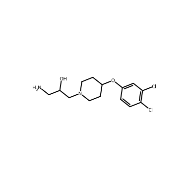 NCC(O)CN1CCC(Oc2ccc(Cl)c(Cl)c2)CC1